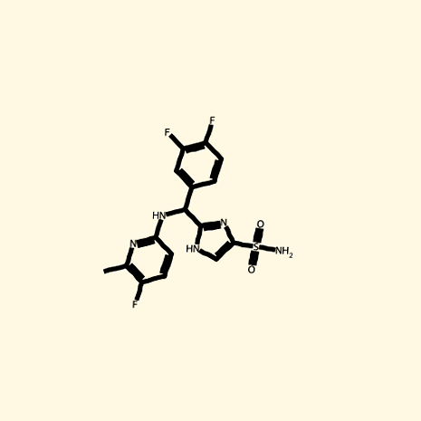 Cc1nc(NC(c2ccc(F)c(F)c2)c2nc(S(N)(=O)=O)c[nH]2)ccc1F